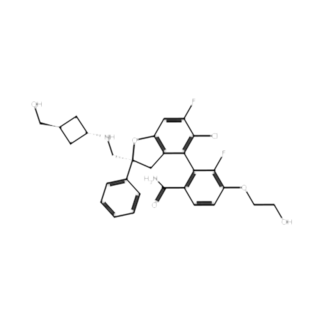 NC(=O)c1ccc(OCCO)c(F)c1-c1c(Cl)c(F)cc2c1C[C@@](CN[C@H]1C[C@H](CO)C1)(c1ccccc1)O2